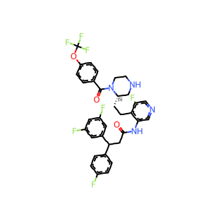 O=C(CC(c1ccc(F)cc1)c1cc(F)cc(F)c1)Nc1cncc(F)c1CC[C@H]1CNCCN1C(=O)c1ccc(OC(F)(F)F)cc1